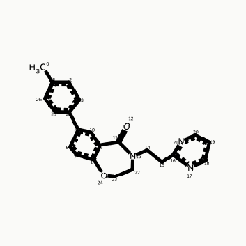 Cc1ccc(-c2ccc3c(c2)C(=O)N(CCc2ncccn2)CCO3)cc1